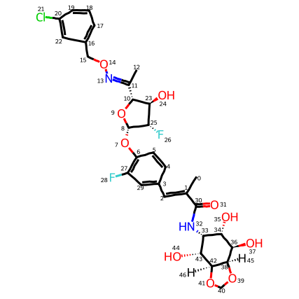 CC(=Cc1ccc(O[C@@H]2O[C@H](C(C)=NOCc3cccc(Cl)c3)[C@@H](O)[C@@H]2F)c(F)c1)C(=O)N[C@@H]1[C@H](O)[C@@H](O)[C@H]2OCO[C@H]2[C@@H]1O